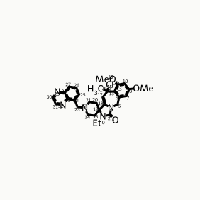 CCN1C(=O)N2Cc3cc(OC)cc(OC)c3C(C)(C)C=C2C12CCN(Cc1cccc3nccnc13)CC2